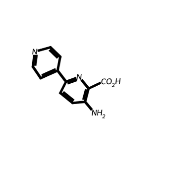 Nc1ccc(-c2ccncc2)nc1C(=O)O